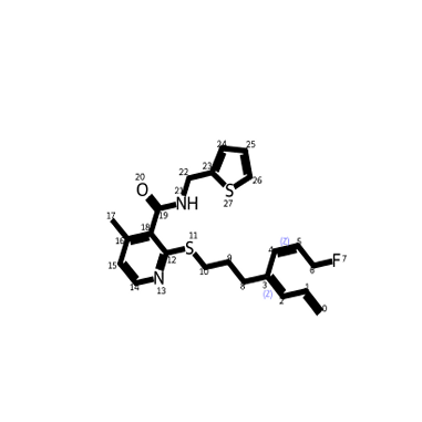 C=C/C=C(\C=C/CF)CCCSc1nccc(C)c1C(=O)NCc1cccs1